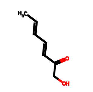 CC=CC=CC(=O)CO